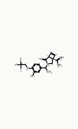 CC(c1ccc(OCC(F)(F)F)c(Cl)c1)N1C[C@@]2(C(=N)N)C=CC2C1=O